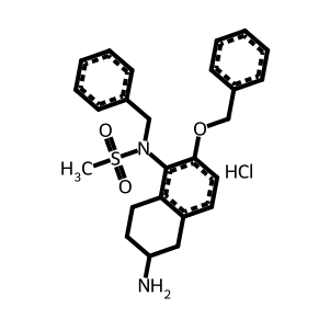 CS(=O)(=O)N(Cc1ccccc1)c1c(OCc2ccccc2)ccc2c1CCC(N)C2.Cl